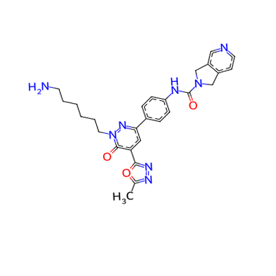 Cc1nnc(-c2cc(-c3ccc(NC(=O)N4Cc5ccncc5C4)cc3)nn(CCCCCCN)c2=O)o1